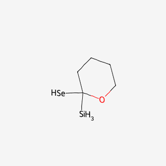 [SiH3]C1([SeH])CCCCO1